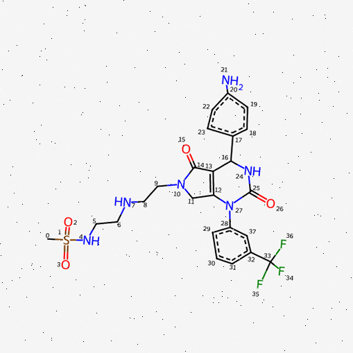 CS(=O)(=O)NCCNCCN1CC2=C(C1=O)C(c1ccc(N)cc1)NC(=O)N2c1cccc(C(F)(F)F)c1